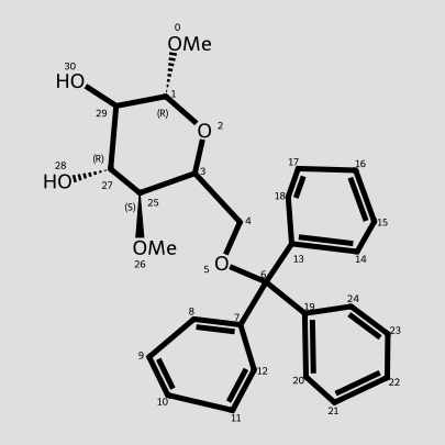 CO[C@@H]1OC(COC(c2ccccc2)(c2ccccc2)c2ccccc2)[C@@H](OC)[C@H](O)C1O